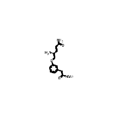 CNC(=O)Cc1cccc(OC[C@@H](N)CCC(N)=O)c1